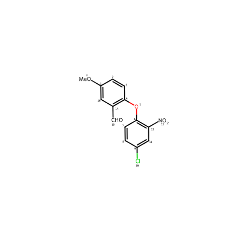 COc1ccc(Oc2ccc(Cl)cc2[N+](=O)[O-])c(C=O)c1